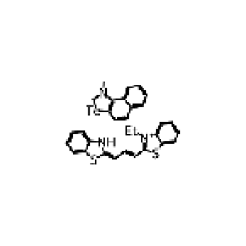 CC[n+]1c(C=CC=C2Nc3ccccc3S2)sc2ccccc21.CN1C[Te]c2ccc3ccccc3c21